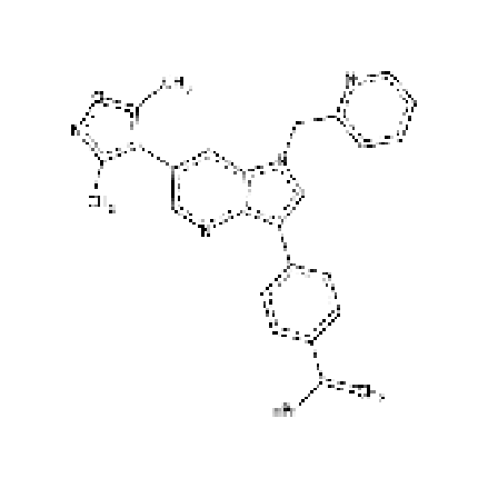 C=C(CCC)c1ccc(-c2cn(Cc3ccccn3)c3cc(-c4c(C)noc4C)cnc23)cc1